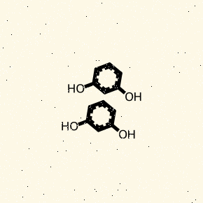 Oc1cccc(O)c1.Oc1cccc(O)c1